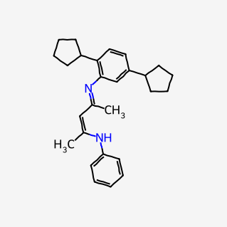 C/C(=C/C(C)=N/c1cc(C2CCCC2)ccc1C1CCCC1)Nc1ccccc1